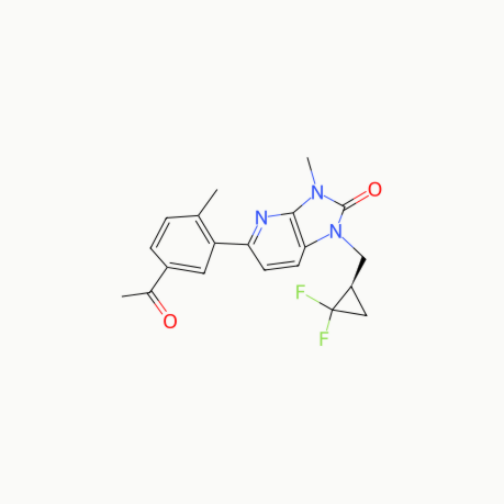 CC(=O)c1ccc(C)c(-c2ccc3c(n2)n(C)c(=O)n3C[C@H]2CC2(F)F)c1